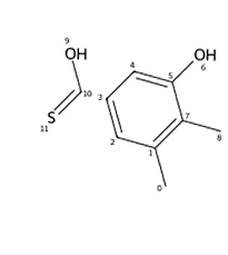 Cc1cccc(O)c1C.OC=S